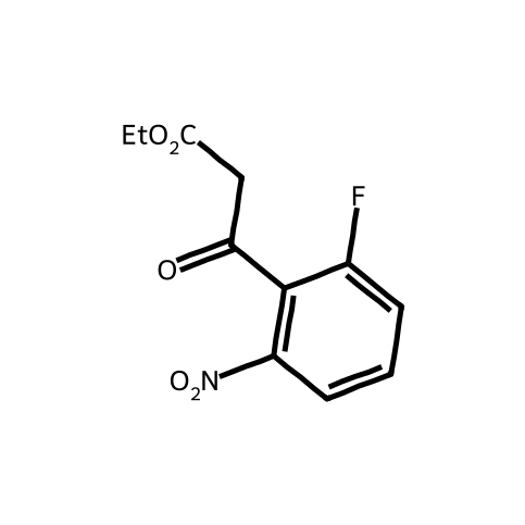 CCOC(=O)CC(=O)c1c(F)cccc1[N+](=O)[O-]